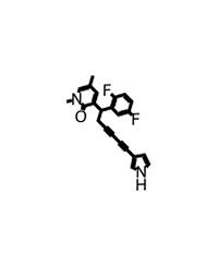 Cc1cc(C(CC#CC#Cc2cc[nH]c2)c2cc(F)ccc2F)c(=O)n(C)c1